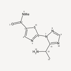 CNC(=O)c1cnc(-n2ncnc2C(C)N)s1